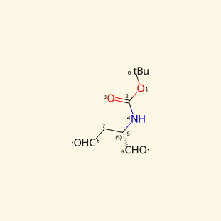 CC(C)(C)OC(=O)N[C@H]([C]=O)C[C]=O